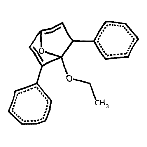 CCOC12OC(=CC1c1ccccc1)C=C2c1ccccc1